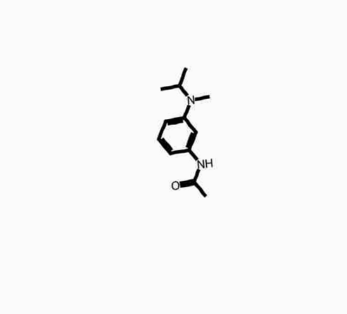 CC(=O)Nc1cccc(N(C)C(C)C)c1